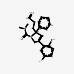 CN(C)C(=O)N1CC(c2cc(F)ccc2F)=CC1(CCC=O)c1ccccc1